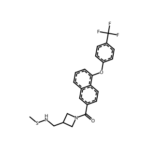 CSNCC1CN(C(=O)c2ccc3c(Oc4ccc(C(F)(F)F)cc4)cccc3c2)C1